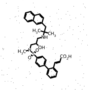 CN(CC(O)CNC(C)(C)Cc1ccc2ccccc2c1)S(=O)(=O)c1ccc(-c2ccccc2C=CC(=O)O)cc1